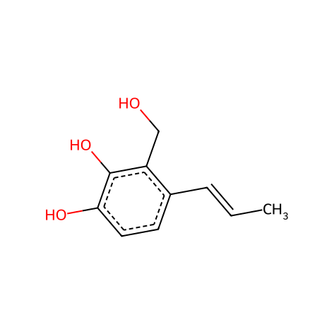 C/C=C/c1ccc(O)c(O)c1CO